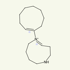 C1=[N+](\C2=C\CCCCCCC2)CCCCNCC/1